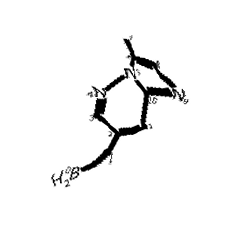 BCc1cnn2c(C)cnc2c1